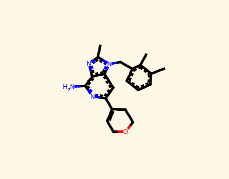 Cc1cccc(Cn2c(C)nc3c(N)nc(C4=CCOCC4)cc32)c1C